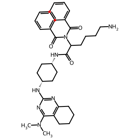 CN(C)c1nc(N[C@H]2CC[C@@H](NC(=O)C(CCCCN)N(C(=O)c3ccccc3)C(=O)c3ccccc3)CC2)nc2c1CCCC2